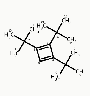 CC(C)(C)C1=CC(C(C)(C)C)=C1C(C)(C)C